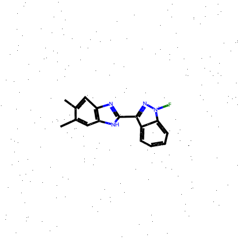 Cc1cc2nc(-c3nn(F)c4ccccc34)[nH]c2cc1C